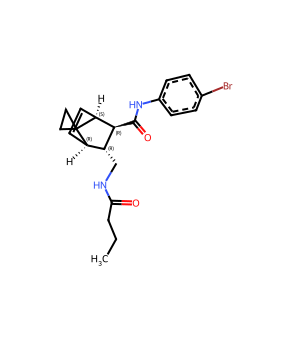 CCCC(=O)NC[C@H]1[C@H](C(=O)Nc2ccc(Br)cc2)[C@@H]2C=C[C@H]1C21CC1